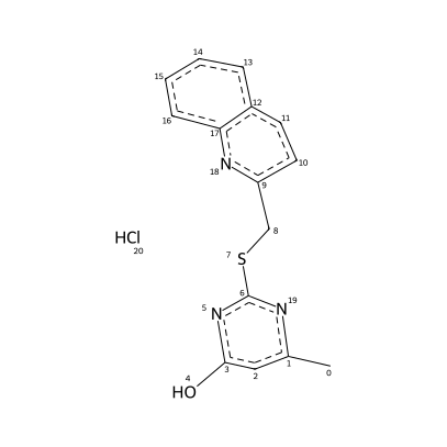 Cc1cc(O)nc(SCc2ccc3ccccc3n2)n1.Cl